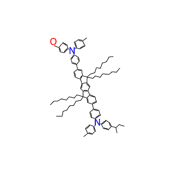 CCCCCCCCC1(CCCCCCCC)c2cc(-c3ccc(N(c4ccc(C)cc4)c4ccc(C=O)cc4)cc3)ccc2-c2cc3c(cc21)-c1ccc(-c2ccc(N(c4ccc(C)cc4)c4ccc(C(C)CC)cc4)cc2)cc1C3(CCCCCCCC)CCCCCCCC